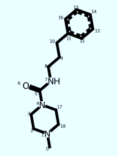 CN1CCN(C(=O)N[CH]CCc2ccccc2)CC1